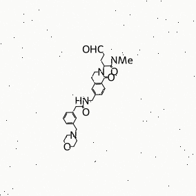 CNC(=O)C(CCC=O)N1CCc2cc(CNC(=O)Cc3cccc(CN4CCOCC4)c3)ccc2C1=O